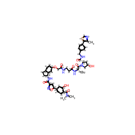 Cc1ncsc1-c1ccc(CNC(=O)[C@@H]2C[C@@H](O)CN2C(=O)[C@@H](NC(=O)CCNC(=O)COc2ccc3c(c2)[C@H](NC(=O)c2cc(-c4ccc(C(=O)N(C)C)c(O)c4)on2)CC3)C(C)(C)C)cc1